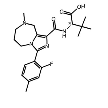 Cc1ccc(-c2nc(C(=O)N[C@H](C(=O)O)C(C)(C)C)c3n2CCCN(C)C3)c(F)c1